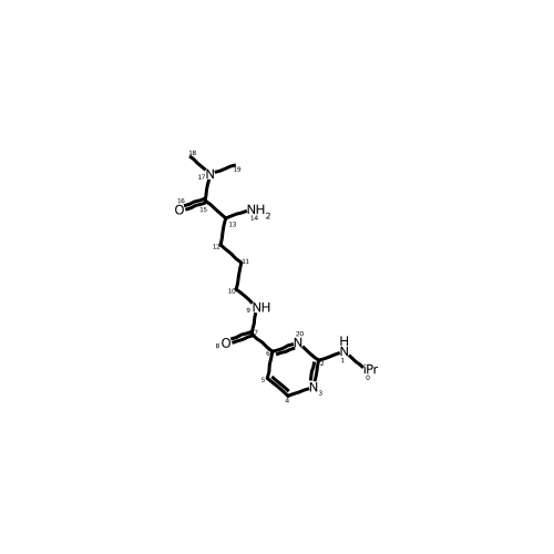 CC(C)Nc1nccc(C(=O)NCCCC(N)C(=O)N(C)C)n1